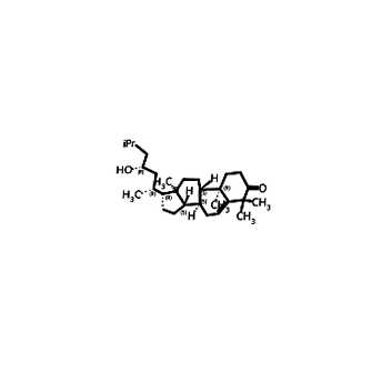 CC(C)C[C@@H](O)C[C@@H](C)[C@H]1CC[C@H]2[C@@H]3CC=C4C(C)(C)C(=O)CC[C@]4(C)[C@H]3CC[C@]12C